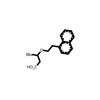 CC(C)(C)C(CC(=O)O)OCCc1cccc2ccccc12